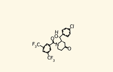 O=C1CCN(C(=O)c2cc(C(F)(F)F)cc(C(F)(F)F)c2)[C@@H]([C@H](O)c2ccc(Cl)cc2)C1